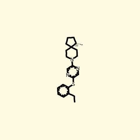 CCc1ccccc1Sc1cnc(N2CCC3(CCC[C@@H]3C)CC2)cn1